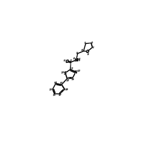 O=C(NCC1CCCO1)c1ncc(-c2ccccc2)s1